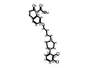 CCC(C)C(=O)N1C(=O)CCc2ccc(OCCCCN3CCN(c4cccc(Cl)c4Cl)CC3)cc21